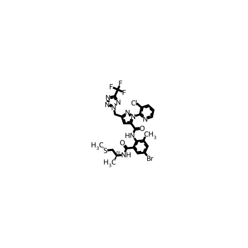 CSC[C@H](C)NC(=O)c1cc(Br)cc(C)c1NC(=O)c1cc(Cn2nnc(C(F)(F)F)n2)nn1-c1ncccc1Cl